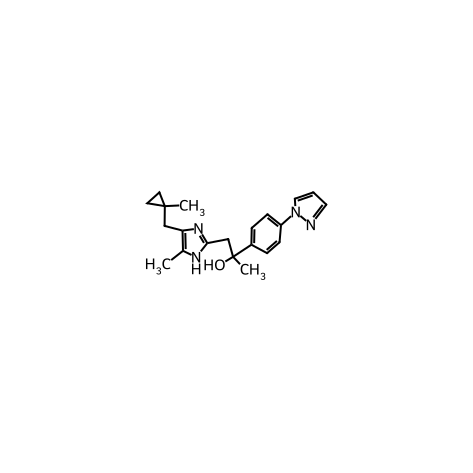 Cc1[nH]c(CC(C)(O)c2ccc(-n3cccn3)cc2)nc1CC1(C)CC1